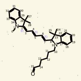 CN1/C(=C/C=C/C=C/C2N(CCCCCC=O)c3ccccc3C2(C)C)C(C)(C)c2ccccc21